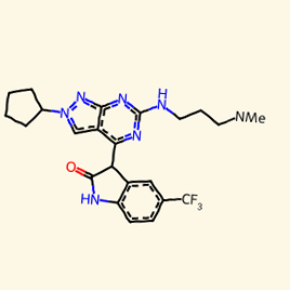 CNCCCNc1nc(C2C(=O)Nc3ccc(C(F)(F)F)cc32)c2cn(C3CCCC3)nc2n1